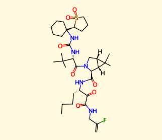 C=C(F)CNC(=O)C(=O)[C@H](CCCC)NC(=O)[C@@H]1[C@@H]2[C@H](CN1C(=O)[C@@H](NC(=O)NC1([C@@H]3CCCS3(=O)=O)CCCCC1)C(C)(C)C)C2(C)C